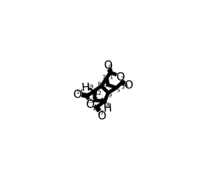 O=C1OC(=O)C2CC1C1C2[C@H]2C[C@@H]1C(=O)OC2=O